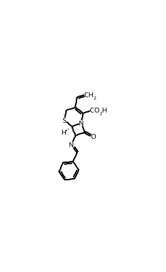 C=CC1=C(C(=O)O)N2C(=O)C(/N=C/c3ccccc3)[C@H]2SC1